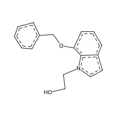 OCCn1ccc2cccc(OCc3ccccc3)c21